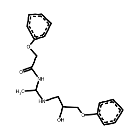 CC(NCC(O)COc1ccccc1)NC(=O)COc1ccccc1